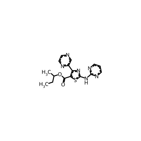 CCC(C)OC(=O)c1sc(Nc2ncccn2)nc1-c1cnccn1